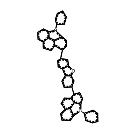 c1ccc(-n2c3cccc4ccc5c(-c6ccc7c(c6)oc6cc(-c8ccc9c%10c8ccc8cccc(c8%10)n9-c8ccccc8)ccc67)ccc2c5c43)cc1